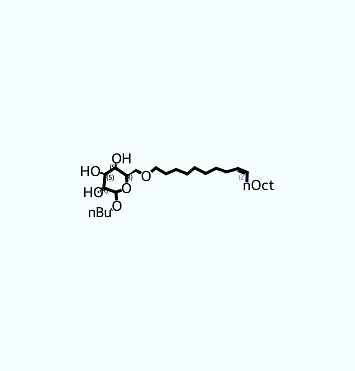 CCCCCCCC/C=C\CCCCCCCCOC[C@H]1OC(OCCCC)[C@H](O)[C@@H](O)[C@@H]1O